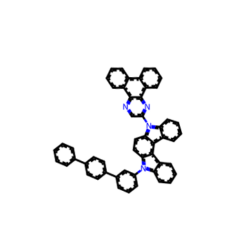 c1ccc(-c2ccc(-c3cccc(-n4c5ccccc5c5c6c7ccccc7n(-c7cnc8c9ccccc9c9ccccc9c8n7)c6ccc54)c3)cc2)cc1